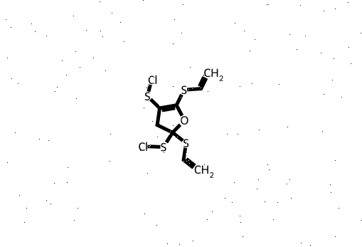 C=CSC1=C(SCl)CC(SCl)(SC=C)O1